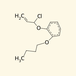 C=CC(Cl)Oc1ccccc1OCCCC